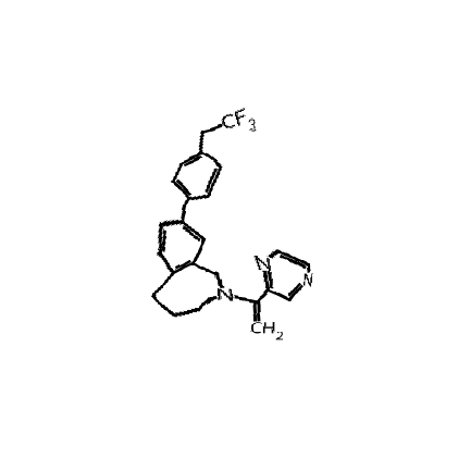 C=C(c1cnccn1)N1CCCc2ccc(-c3ccc(CC(F)(F)F)cc3)cc2C1